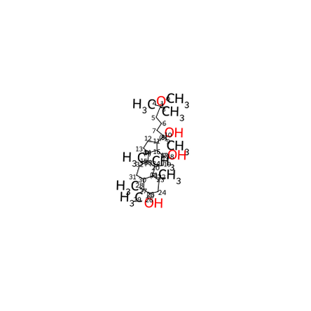 COC(C)(C)CCC[C@](C)(O)C1CC[C@]2(C)C1[C@H](O)CC1[C@@]3(C)CC[C@H](O)C(C)(C)C3CC[C@]12C